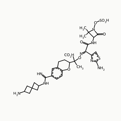 CC(ON=C(C(=O)NC1C(=O)N(OS(=O)(=O)O)C1(C)C)c1csc(N)n1)(C(=O)O)C1CCc2cc(C(=N)NC3CC4(CC(N)C4)C3)ccc2O1